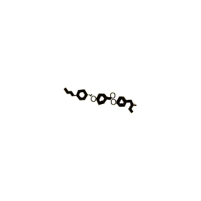 CCCC[C@H]1CC[C@H](COc2ccc(C(=O)Oc3ccc(C[C@@H](C)CC)cc3)cc2)CC1